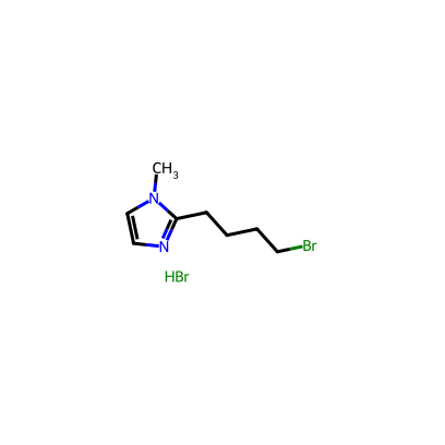 Br.Cn1ccnc1CCCCBr